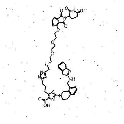 O=C1CCC(N2C(=O)c3cccc(OCCOCCOCCOCc4cn(CCCc5sc(N6CCc7cccc(CNc8nc9ccccc9s8)c7C6)nc5C(=O)O)nn4)c3C2=O)C(=O)N1